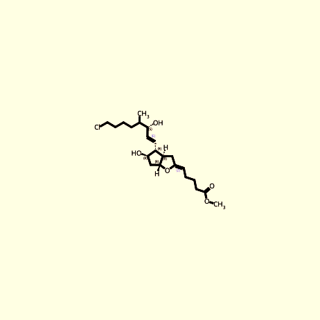 COC(=O)CCC/C=C1/C[C@@H]2[C@@H](/C=C/[C@@H](O)C(C)CCCCCl)[C@H](O)C[C@H]2O1